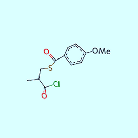 COc1ccc(C(=O)SCC(C)C(=O)Cl)cc1